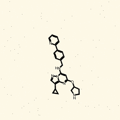 c1ccc(-c2ccc(CNc3cc(OC4CCNC4)nc4c(C5CC5)cnn34)cc2)nc1